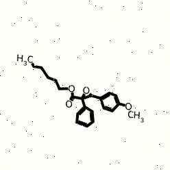 CCCCCCOC(=O)C1(c2ccccc2)OC1c1ccc(OC)cc1